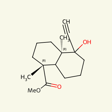 C#CC1(O)CCCC2[C@](C)(C(=O)OC)CCC[C@]21C